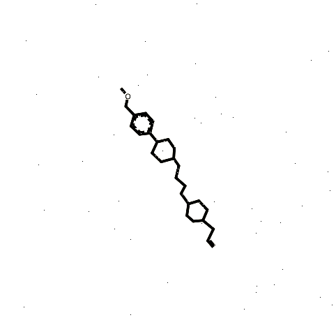 C=CCC1CCC(CCCCC2CCC(c3ccc(COC)cc3)CC2)CC1